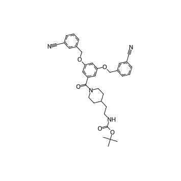 CC(C)(C)OC(=O)NCCC1CCN(C(=O)c2cc(OCc3cccc(C#N)c3)cc(OCc3cccc(C#N)c3)c2)CC1